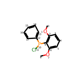 COc1cccc(OC)c1P(Cl)c1ccccc1